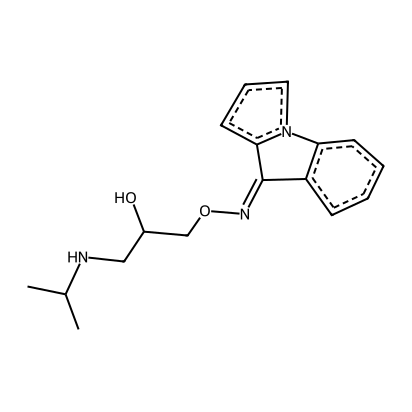 CC(C)NCC(O)CON=C1c2ccccc2-n2cccc21